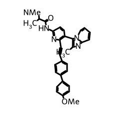 CNC(C)C(=O)Nc1ccc(-c2c(C)nc3ccccn23)c(C#Cc2ccc(-c3ccc(OC)cc3)cc2)n1